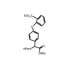 CCCCCC(C(=O)OC)c1ccc(Oc2ccccc2C(=O)OCC)cc1